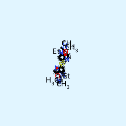 CCN(C(=O)CN(C)C)c1ccc(SSc2ccc(N(CC)C(=O)CN(C)C)c3cccnc23)c2ncccc12